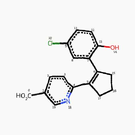 O=C(O)c1ccc(C2=C(c3cc(Cl)ccc3O)CCC2)nc1